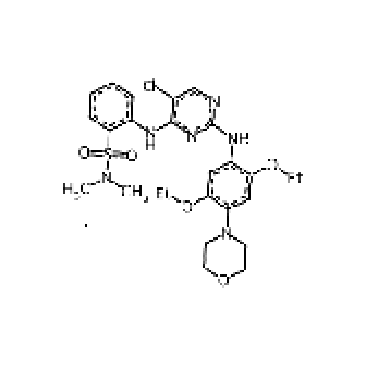 CCOc1cc(N2CCOCC2)c(OCC)cc1Nc1ncc(Cl)c(Nc2ccccc2S(=O)(=O)N(C)C)n1